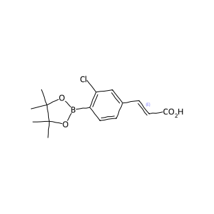 CC1(C)OB(c2ccc(/C=C/C(=O)O)cc2Cl)OC1(C)C